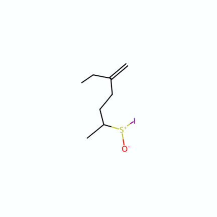 C=C(CC)CCC(C)[S+]([O-])I